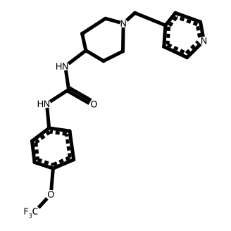 O=C(Nc1ccc(OC(F)(F)F)cc1)NC1CCN(Cc2ccncc2)CC1